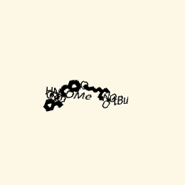 C=Cc1ccccc1S(=O)(=O)NC(Cc1ccc(OCCCCC2CCN(C(=O)OC(C)(C)C)CC2)cc1)C(=O)OC